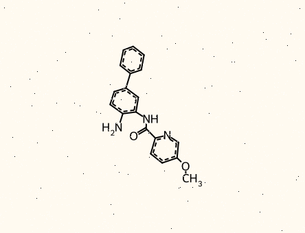 COc1ccc(C(=O)Nc2cc(-c3ccccc3)ccc2N)nc1